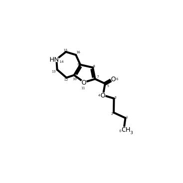 CCCCOC(=O)c1cc2c(o1)CCNCC2